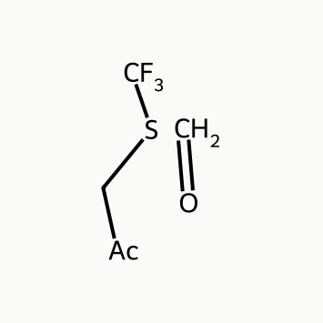 C=O.CC(=O)CSC(F)(F)F